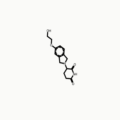 O=C1CCC(N2Cc3ccc(OCCO)cc3C2)C(=O)N1